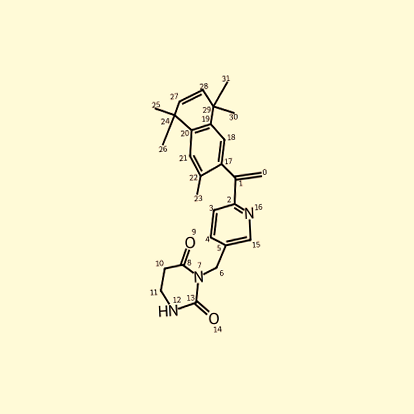 C=C(c1ccc(CN2C(=O)CCNC2=O)cn1)c1cc2c(cc1C)C(C)(C)C=CC2(C)C